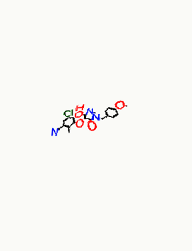 COc1ccc(Cn2cnc(O)c(Oc3cc(Cl)cc(C#N)c3C)c2=O)cc1